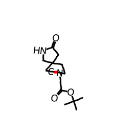 CC(C)(C)OC(=O)N1CC2CCC1CC21CNC(=O)C1